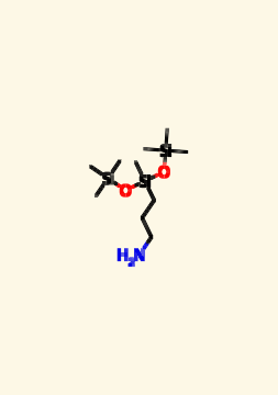 C[Si](C)(C)O[Si](C)(CCCN)O[Si](C)(C)C